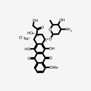 COc1cccc2c1C(=O)c1c(O)c3c(c(O)c1C2=O)C[C@@](O)(C(=O)CO)C[C@@H]3OC1CC(N)C(O)C(C)O1.[Cl-].[Na+]